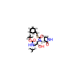 CC(C)C[C@H](NC(=O)OC(C)(C)C)[C@@H](O)CN(C[C@@H]1CCNC1=O)C(=O)SCc1ccccc1